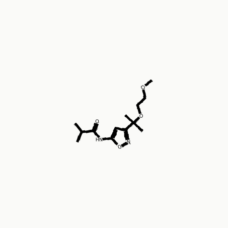 COCCOC(C)(C)c1cc(NC(=O)C(C)C)on1